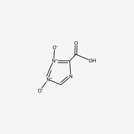 O=C(O)c1nc[n+]([O-])c[n+]1[O-]